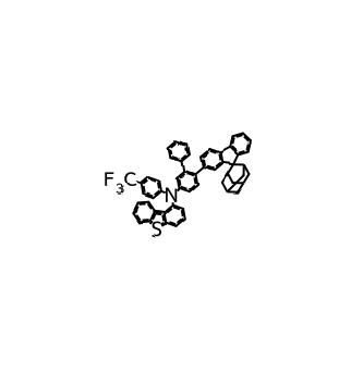 FC(F)(F)c1ccc(N(c2ccc(-c3ccc4c(c3)C3(c5ccccc5-4)C4CC5CC(C4)CC3C5)c(-c3ccccc3)c2)c2cccc3sc4ccccc4c23)cc1